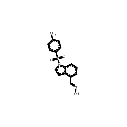 Cc1ccc(S(=O)(=O)n2ccc3c(/C=N/O)cccc32)cc1